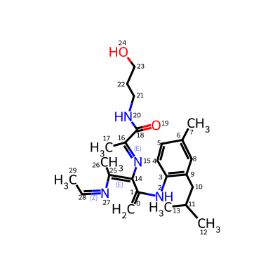 C=C(Nc1ccc(C)cc1CC(C)C)C(/N=C(\C)C(=O)NCCCO)=C(C)\N=C/C